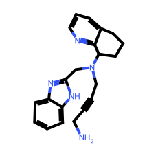 NCC#CCN(Cc1nc2ccccc2[nH]1)C1CCCc2cccnc21